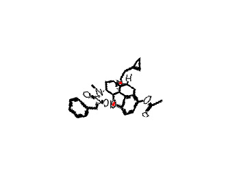 CC(=O)Oc1ccc2c3c1C[C@@H]1[C@@H]4CC[C@@H](N(C)S(=O)(=O)Cc5ccccc5)[C@H](O2)[C@]34CCN1CC1CC1